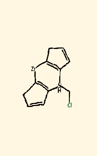 ClC[SiH]1C2=[C](CC=C2)[Zr][C]2=C1C=CC2